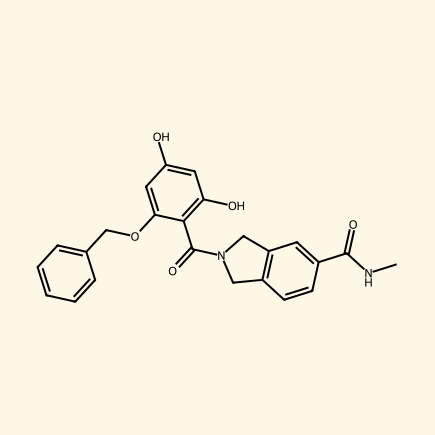 CNC(=O)c1ccc2c(c1)CN(C(=O)c1c(O)cc(O)cc1OCc1ccccc1)C2